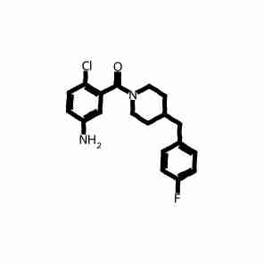 Nc1ccc(Cl)c(C(=O)N2CCC(Cc3ccc(F)cc3)CC2)c1